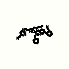 CCCC(CCCCNc1ccc(C#N)cn1)N(c1ccc(-c2ccccc2C#N)cc1)C(O)NCc1ccccc1